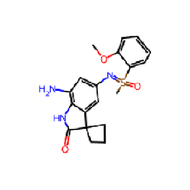 COc1ccccc1S(C)(=O)=Nc1cc(N)c2c(c1)C1(CCC1)C(=O)N2